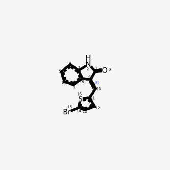 O=C1Nc2ccccc2/C1=C\c1ccc(Br)s1